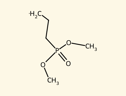 [CH2]CCP(=O)(OC)OC